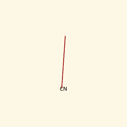 CC#CC#CC#CC#CC#CC#CC#CC#CC#CC#CC#CC#CC#CC#CC#CC#CC#CC#CC#CC#CC#CC#CC#CC#CC#CC#CC#CC#CC#CC#CC#CC#CC#CC#CC#CC#CC#CC#CC#CC#CC#CC#CC#CC#CC#CC#CC#CC#CC#CC#CC#CC#CC#CC#CC#N